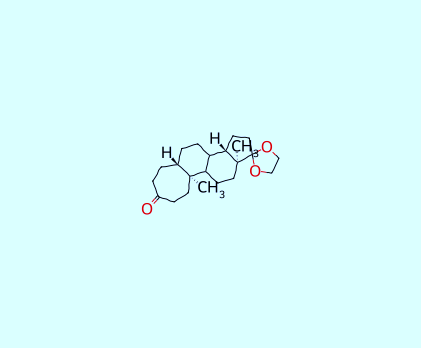 C[C@]12CCC3C(CC[C@H]4CCC(=O)CC[C@]34C)[C@@H]1CCC21OCCO1